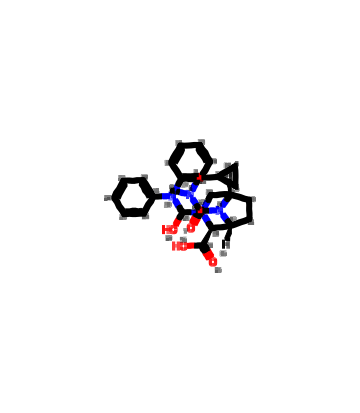 CN(CC1CC1)C(=O)N1[C@H]2CC[C@@H]1[C@@H](C(=O)O)N(C(O)N(c1ccccc1)c1ccccc1)C2